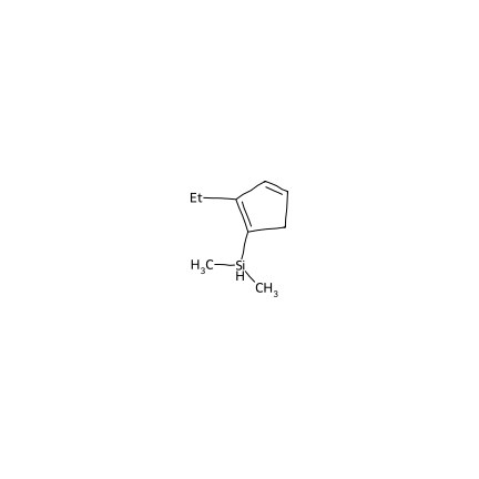 CCC1=C([SiH](C)C)CC=C1